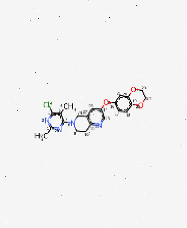 Cc1nc(Cl)c(C)c(N2CCc3ncc(Oc4ccc5c(c4)OCCO5)cc3C2)n1